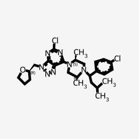 CC(C)CC(c1ccc(Cl)cc1)N1C[C@H](C)N(c2nc(Cl)nc3c2nnn3C[C@H]2CCCO2)C[C@H]1C